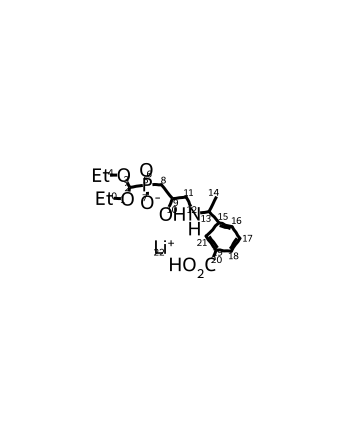 CCOC(OCC)P(=O)([O-])CC(O)CNC(C)c1cccc(C(=O)O)c1.[Li+]